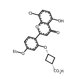 CCOc1ccc(-c2cc(=O)c3c(O)ccc(Cl)c3o2)c(O[C@H]2C[C@@H](C(=O)O)C2)c1